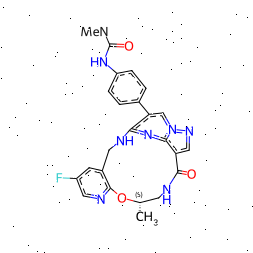 CNC(=O)Nc1ccc(-c2cn3ncc4c3nc2NCc2cc(F)cnc2O[C@@H](C)CNC4=O)cc1